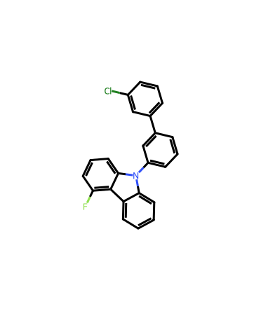 Fc1cccc2c1c1ccccc1n2-c1cccc(-c2cccc(Cl)c2)c1